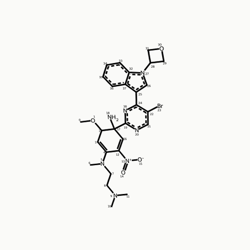 COC1C=C(N(C)CCN(C)C)C([N+](=O)[O-])=CC1(N)c1ncc(Br)c(-c2cn(C3COC3)c3ccccc23)n1